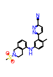 Cc1ccc(Nc2cccc3c2CCN(S(C)(=O)=O)C3)cc1-c1ccc(C#N)nn1